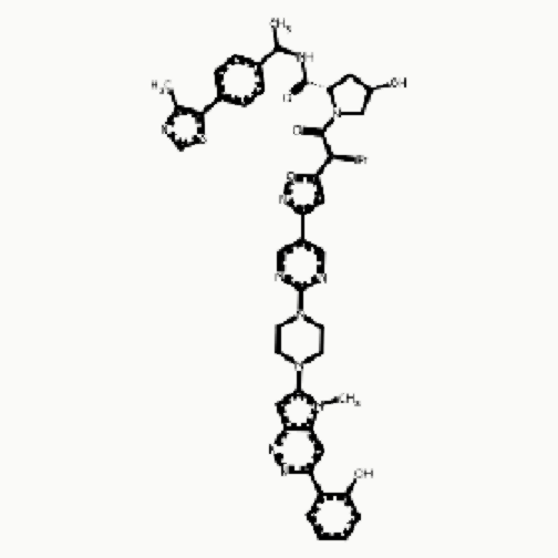 Cc1ncsc1-c1ccc(C(C)NC(=O)[C@@H]2C[C@@H](O)CN2C(=O)C(c2cc(-c3cnc(N4CCN(c5cc6nnc(-c7ccccc7O)cc6n5C)CC4)nc3)no2)C(C)C)cc1